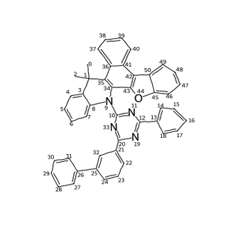 CC1(C)c2ccccc2N(c2nc(-c3ccccc3)nc(-c3cccc(-c4ccccc4)c3)n2)c2c1c1ccccc1c1c2oc2ccccc21